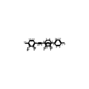 Cc1ccc(C23CCC(C#Cc4ccc(C)c(F)c4F)(CC2)C(F)=C3F)cc1